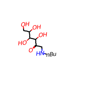 CCCCNCC(=O)C(O)C(O)C(O)CO